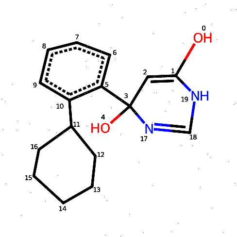 OC1=CC(O)(c2ccccc2C2CCCCC2)N=CN1